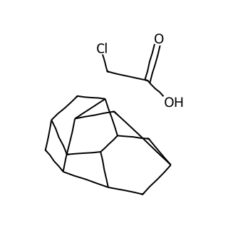 C1C2CC3C4CC5CC(C14)C(C2)C3C5.O=C(O)CCl